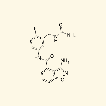 NC(=O)NCc1cc(NC(=O)c2cccc3onc(N)c23)ccc1F